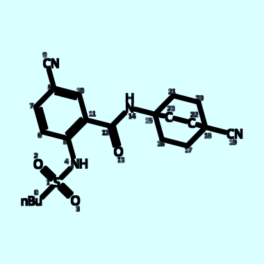 CCCCS(=O)(=O)Nc1ccc(C#N)cc1C(=O)NC12CCC(C#N)(CC1)CC2